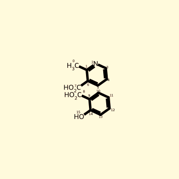 Cc1ncccc1C(=O)O.O=C(O)c1ccccc1O